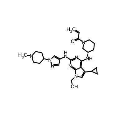 C=CC(=O)N1CCC[C@@H](Nc2nc(Nc3cnn(C4CCN(C)CC4)c3)nc3c2c(C2CC2)cn3CO)C1